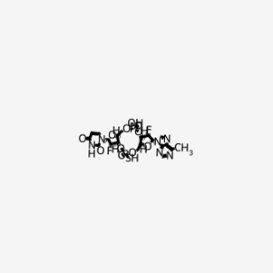 Cc1ncnc2c1ncn2[C@@H]1O[C@@H]2COP(=O)(S)O[C@H]3[C@@H](F)[C@H](n4ccc(=O)[nH]c4=O)O[C@@H]3COP(=O)(O)O[C@H]2[C@H]1F